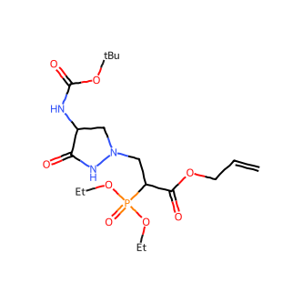 C=CCOC(=O)C(CN1CC(NC(=O)OC(C)(C)C)C(=O)N1)P(=O)(OCC)OCC